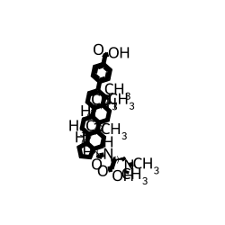 CN(C)C[C@H](NC(=O)[C@]12CCC[C@@H]1[C@H]1CC[C@@H]3[C@@]4(C)CC=C(c5ccc(C(=O)O)cc5)C(C)(C)[C@@H]4CC[C@@]3(C)[C@]1(C)CC2)C(=O)O